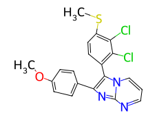 COc1ccc(-c2nc3ncccn3c2-c2ccc(SC)c(Cl)c2Cl)cc1